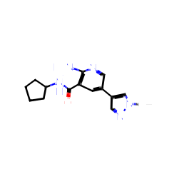 Cn1cc(-c2cnc(N)c(C(=O)NC3CCCC3)c2)cn1